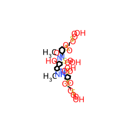 CNc1ccc2c(O)c(/N=N/c3cc(S(=O)(=O)CCOSOOO)ccc3OC)c(SOOO)cc2c1/N=N/c1cc(S(=O)(=O)CCOSOOO)ccc1S(=O)(=O)O